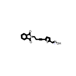 O=C1c2ccccc2C(=O)N1CCC#Cc1ccc(/C=N/O)s1